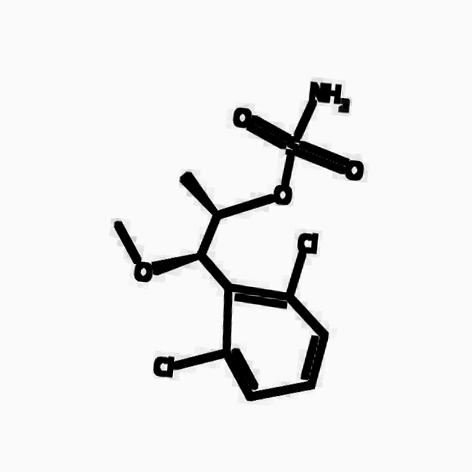 CO[C@H](c1c(Cl)cccc1Cl)[C@@H](C)OS(N)(=O)=O